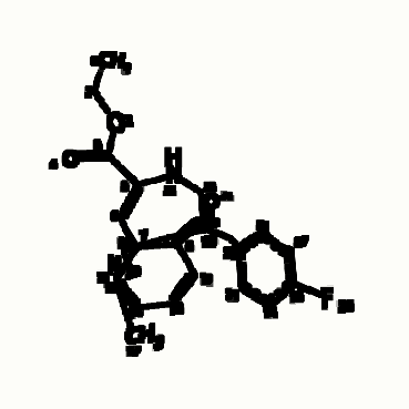 CCOC(=O)C1=CC23C(=CCN1)C=CC=C2N(C)CC3C(=O)c1ccc(F)cc1